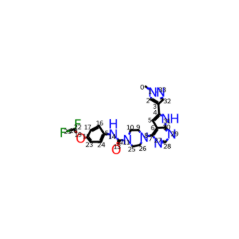 Cn1cc(-c2cc3c(N4CCN(C(=O)Nc5ccc(OC(F)F)cc5)CC4)ncnc3[nH]2)cn1